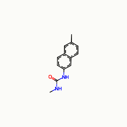 CNC(=O)Nc1ccc2cc(C)ccc2c1